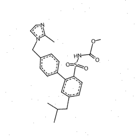 COC(=O)NS(=O)(=O)c1ccc(CC(C)C)cc1-c1ccc(Cn2ccnc2C)cc1